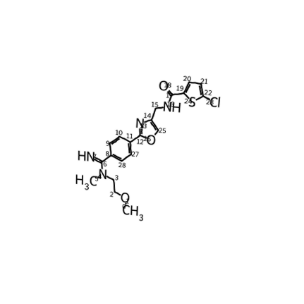 COCCN(C)C(=N)c1ccc(-c2nc(CNC(=O)c3ccc(Cl)s3)co2)cc1